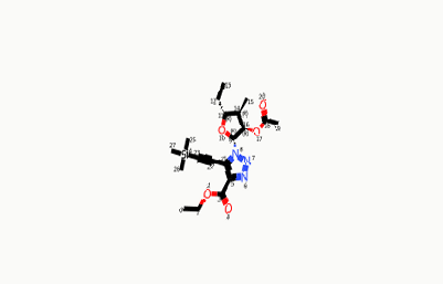 CCOC(=O)c1nnn([C@@H]2O[C@H](CC)[C@@H](C)[C@H]2OC(C)=O)c1C#C[Si](C)(C)C